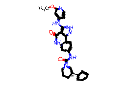 COc1cc(Nc2[nH]nc(-c3ccc(NC(=O)N4CCC[C@H](c5ccccc5)C4)cc3)c2C(N)=O)ccn1